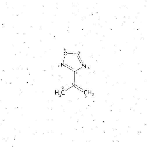 C=C(C)c1n[c]on1